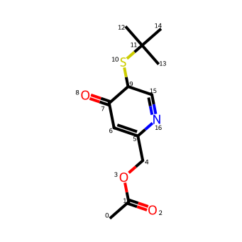 CC(=O)OCC1=CC(=O)C(SC(C)(C)C)C=N1